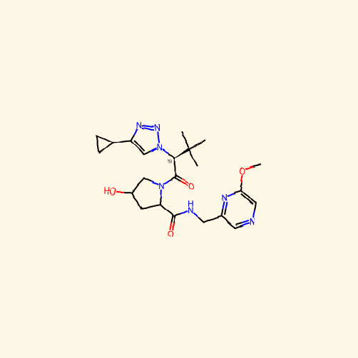 COc1cncc(CNC(=O)C2CC(O)CN2C(=O)[C@@H](n2cc(C3CC3)nn2)C(C)(C)C)n1